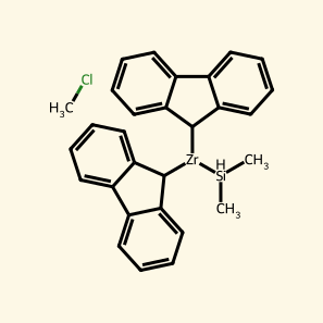 CCl.C[SiH](C)[Zr]([CH]1c2ccccc2-c2ccccc21)[CH]1c2ccccc2-c2ccccc21